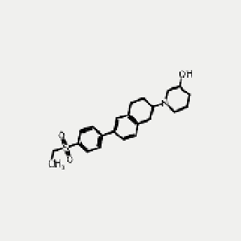 CCS(=O)(=O)c1ccc(-c2ccc3c(c2)CCC(N2CCCC(O)C2)C3)cc1